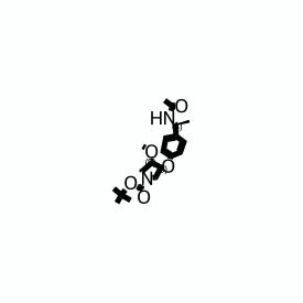 CO[C@@H]1CN(C(=O)OC(C)(C)C)C[C@@H]1Oc1ccc([C@H](C)NC(C)=O)cc1